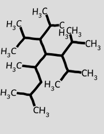 CC(C)CC(C)C(C(C(C)C)C(C)C)C(C(C)C)C(C)C